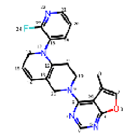 Cc1coc2ncnc(N3CCC4=C(C=CCN4c4cccnc4F)C3)c12